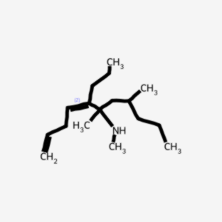 C=CC/C=C(/CCC)C(C)(CC(C)CCC)NC